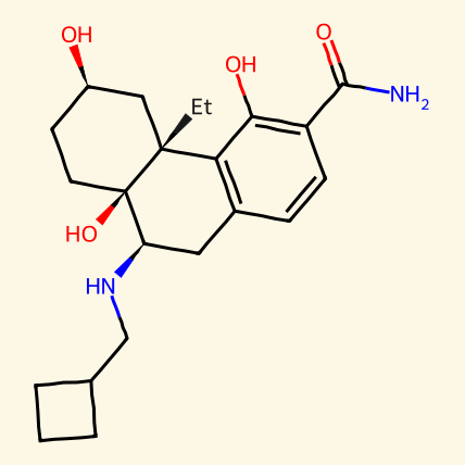 CC[C@]12C[C@H](O)CC[C@@]1(O)[C@H](NCC1CCC1)Cc1ccc(C(N)=O)c(O)c12